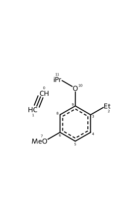 C#C.CCc1ccc(OC)cc1OC(C)C